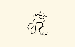 CCCC[N+](CCCC)(CCCC)CCCC.O=C(O)c1cccc(Cl)c1.O=C([O-])c1cccc(Cl)c1